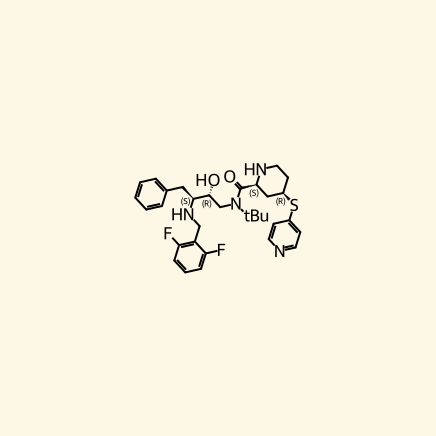 CC(C)(C)N(C[C@@H](O)[C@H](Cc1ccccc1)NCc1c(F)cccc1F)C(=O)[C@@H]1C[C@H](Sc2ccncc2)CCN1